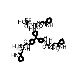 NC[C@H](NC(=O)Cc1c[nH]c2ccccc12)C(=O)Nc1ccc(C(c2ccc(NC(=O)[C@H](CN)NC(=O)Cc3c[nH]c4ccccc34)cc2)c2ccc(NC(=O)[C@H](CN)NC(=O)Cc3c[nH]c4ccccc34)cc2)cc1.O=C(O)C(F)(F)F